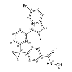 Cc1nc2ccc(Br)cn2c1-c1ccnc(C2(c3ccc(C(=O)NO)cc3)CC2)n1